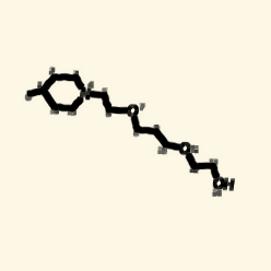 CC1CCN(CCOCCCOCCO)CC1